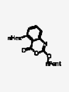 CCCCCCc1cccc2nc(OCCCCC)oc(=O)c12